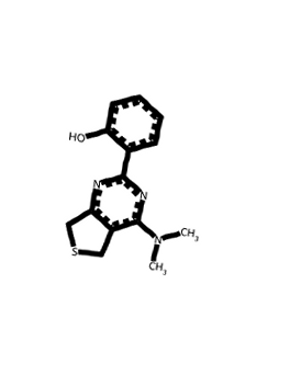 CN(C)c1nc(-c2ccccc2O)nc2c1CSC2